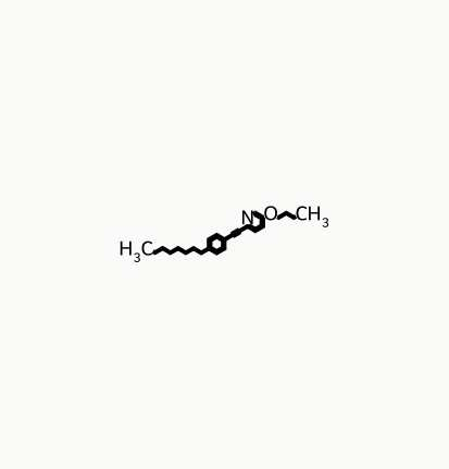 CCCCCCCCc1ccc(C#Cc2ccc(OCCCC)cn2)cc1